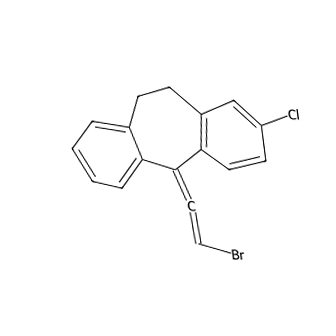 Clc1ccc2c(c1)CCc1ccccc1C2=C=CBr